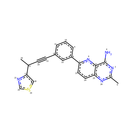 Cc1nc(N)c2nc(-c3cccc(C#CC(C)c4cscn4)c3)ccc2n1